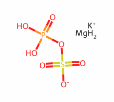 O=P(O)(O)OS(=O)(=O)[O-].[K+].[MgH2]